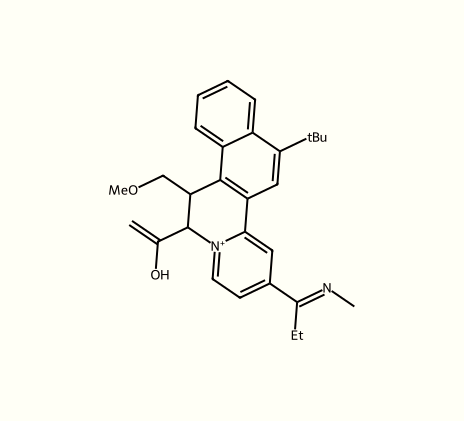 C=C(O)C1C(COC)c2c(cc(C(C)(C)C)c3ccccc23)-c2cc(C(CC)=NC)cc[n+]21